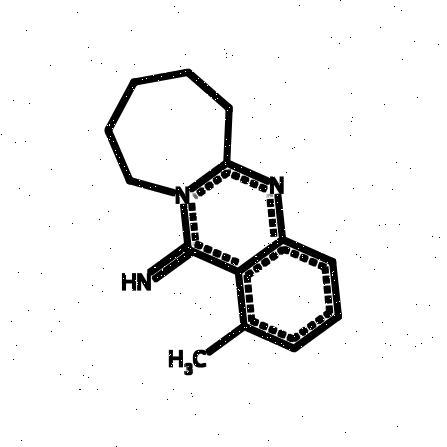 Cc1cccc2nc3n(c(=N)c12)CCCCC3